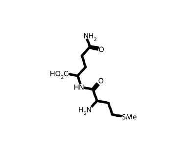 CSCCC(N)C(=O)NC(CCC(N)=O)C(=O)O